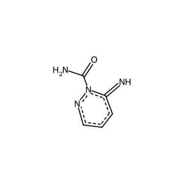 N=c1cccnn1C(N)=O